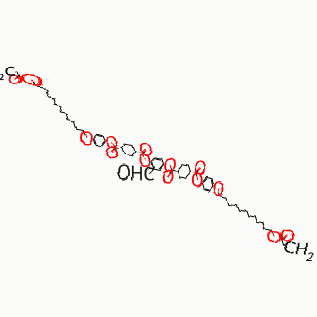 C=CC(=O)OCCCCCCCCCCCCOc1ccc(OC(=O)[C@H]2CC[C@H](C(=O)Oc3ccc(OC(=O)[C@H]4CC[C@H](C(=O)Oc5ccc(OCCCCCCCCCCCCOC(=O)C=C)cc5)CC4)c(C=O)c3)CC2)cc1